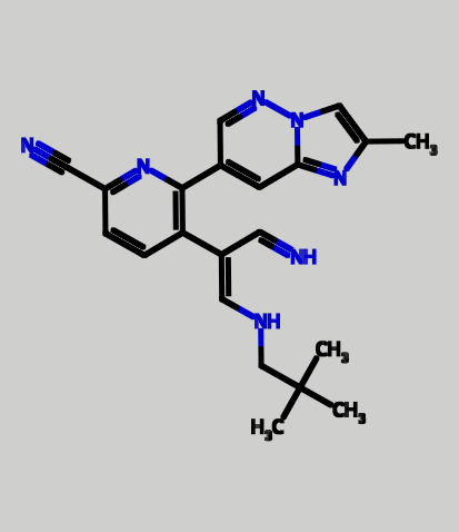 Cc1cn2ncc(-c3nc(C#N)ccc3/C(C=N)=C/NCC(C)(C)C)cc2n1